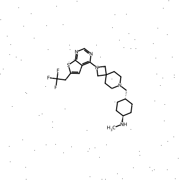 CN[C@H]1CC[C@H](CN2CCC3(CC2)CN(c2ncnc4sc(CC(F)(F)F)cc24)C3)CC1